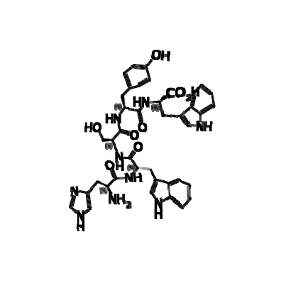 N[C@@H](Cc1c[nH]cn1)C(=O)N[C@@H](Cc1c[nH]c2ccccc12)C(=O)N[C@@H](CO)C(=O)N[C@@H](Cc1ccc(O)cc1)C(=O)N[C@H](Cc1c[nH]c2ccccc12)C(=O)O